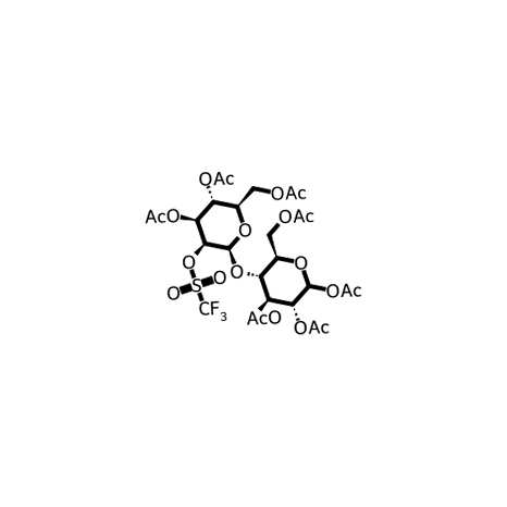 CC(=O)OC[C@H]1O[C@@H](O[C@H]2[C@H](OC(C)=O)[C@@H](OC(C)=O)C(OC(C)=O)O[C@@H]2COC(C)=O)[C@@H](OS(=O)(=O)C(F)(F)F)[C@@H](OC(C)=O)[C@@H]1OC(C)=O